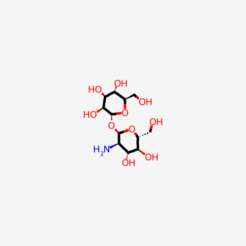 N[C@H]1[C@@H](O[C@H]2O[C@H](CO)[C@@H](O)[C@H](O)[C@@H]2O)O[C@H](CO)[C@@H](O)[C@@H]1O